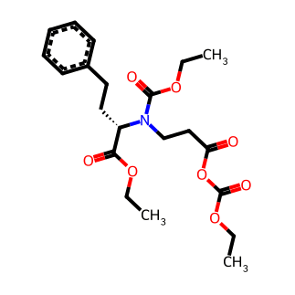 CCOC(=O)OC(=O)CCN(C(=O)OCC)[C@@H](CCc1ccccc1)C(=O)OCC